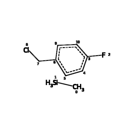 C[SiH3].Fc1ccc(CCl)cc1